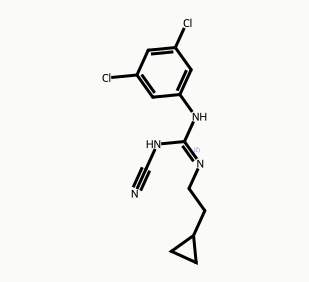 N#CN/C(=N\CCC1CC1)Nc1cc(Cl)cc(Cl)c1